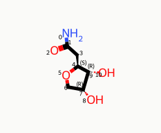 NC(=O)C[C@@H]1OC[C@@H](O)[C@H]1O